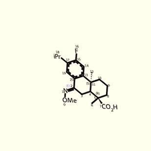 CO/N=C1\CC2[C@](C)(C(=O)O)CCC[C@]2(C)c2cc(F)c(C(C)C)cc21